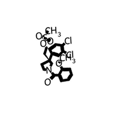 COc1ccccc1C(=O)N1CC[C@](CCOS(C)(=O)=O)(c2ccc(Cl)c(Cl)c2)C1